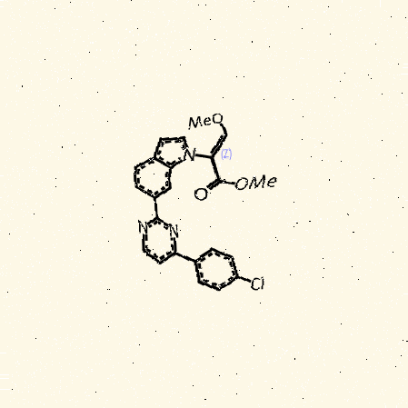 CO/C=C(/C(=O)OC)n1ccc2ccc(-c3nccc(-c4ccc(Cl)cc4)n3)cc21